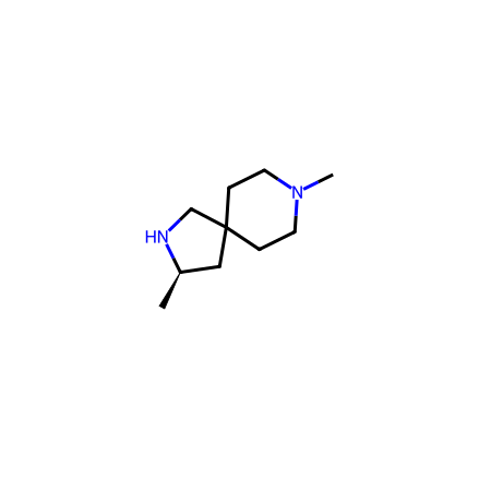 C[C@@H]1CC2(CCN(C)CC2)CN1